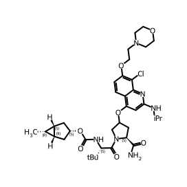 CC(C)Nc1cc(OC2C[C@@H](C(N)=O)N(C(=O)[C@@H](NC(=O)O[C@@H]3C[C@@H]4[C@H](C)[C@@H]4C3)C(C)(C)C)C2)c2ccc(OCCN3CCOCC3)c(Cl)c2n1